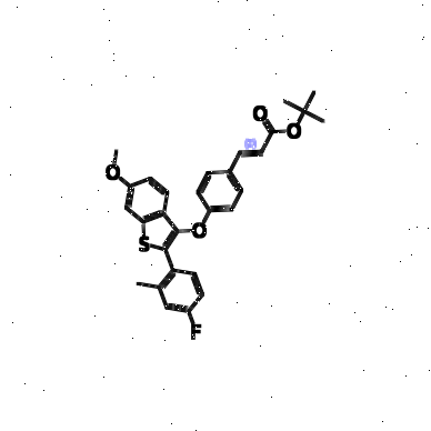 COc1ccc2c(Oc3ccc(/C=C/C(=O)OC(C)(C)C)cc3)c(-c3ccc(F)cc3C)sc2c1